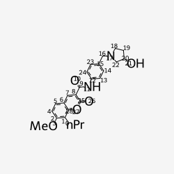 CCCc1c(OC)ccc2cc(C(=O)Nc3ccc(CN4CC[C@@H](O)C4)cc3)c(=O)oc12